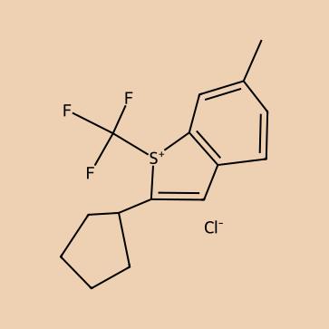 Cc1ccc2cc(C3CCCC3)[s+](C(F)(F)F)c2c1.[Cl-]